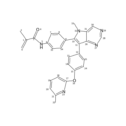 C=C(C)C(=O)Nc1ccc(-c2c(-c3ccc(Oc4cccc(C)n4)cc3)c3ncncc3n2C)cc1